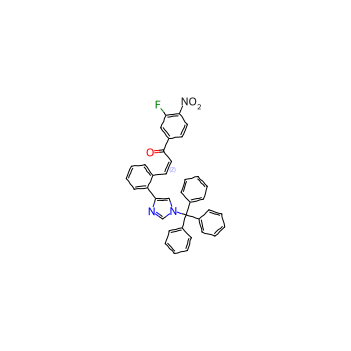 O=C(/C=C\c1ccccc1-c1cn(C(c2ccccc2)(c2ccccc2)c2ccccc2)cn1)c1ccc([N+](=O)[O-])c(F)c1